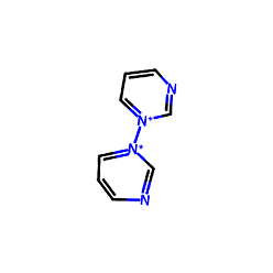 c1cnc[n+](-[n+]2cccnc2)c1